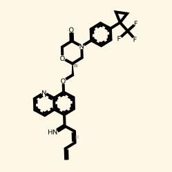 C=C/C=C\C(=N)c1ccc(OC[C@@H]2CN(c3ccc(C4(C(F)(F)F)CC4)cc3)C(=O)CO2)c2ncccc12